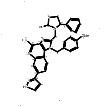 COc1ccc(Cn2c(CN3C(O)OCC3c3ccccc3)nc3c(N)nc4cc(-c5cc[nH]n5)ccc4c32)cc1